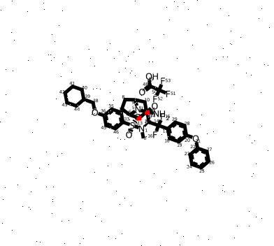 CN([C@@H](C(=O)N1C2CCC1CC(N)C2)C(F)(F)c1ccc(Oc2ccccc2)cc1)S(=O)(=O)c1ccc(OCC2CCCCC2)cc1.O=C(O)C(F)(F)F